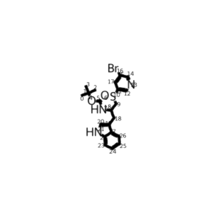 CC(C)(C)OC(=O)NC(CSc1cncc(Br)c1)Cc1c[nH]c2ccccc12